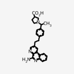 CC(c1ccc(CCc2cnc3c(N)nc4ccccc4c3c2)cc1)N1CCC(C(=O)O)C1